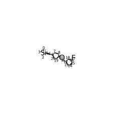 C[Si](C)(C)C#Cc1ccc(OCc2cccc(F)c2)cc1